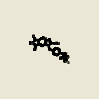 CCCCc1ncc(/C=C2/C(=O)NC(=O)N2CCCC)n1Cc1ccc(NS(=O)(=O)C(F)(F)F)cc1